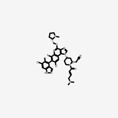 Cc1c(Cl)cc2[nH]ncc2c1-c1c(Cl)cc2c(nc(OC[C@@H]3CCCN3C)c3ncn([C@H]4CCN(C(=O)/C=C/CN(C)C)[C@H](CC#N)C4)c32)c1F